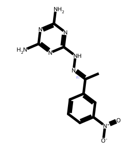 C/C(=N\Nc1nc(N)nc(N)n1)c1cccc([N+](=O)[O-])c1